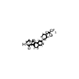 O=C1NCCn2nc3c(c21)CCc1cnc(N2CCC(OC(=O)C(F)(F)F)CC2)cc1-3